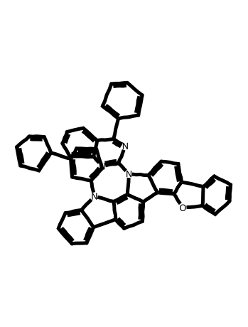 c1ccc(-c2cccc(-n3c4ccccc4c4ccc5c6c7oc8ccccc8c7ccc6n(-c6nc(-c7ccccc7)c7ccccc7n6)c5c43)c2)cc1